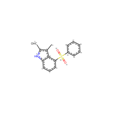 Cc1c(C=O)[nH]c2cccc(S(=O)(=O)c3ccccc3)c12